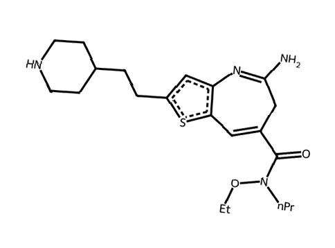 CCCN(OCC)C(=O)C1=Cc2sc(CCC3CCNCC3)cc2N=C(N)C1